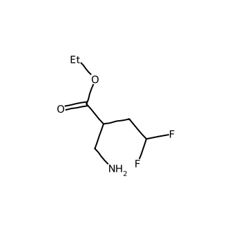 CCOC(=O)C(CN)CC(F)F